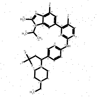 CCN1CCN(C(CC(F)(F)F)c2ccc(Nc3ncc(F)c(-c4cc(F)c5nc(C)n(C(C)C)c5c4)n3)nc2)CC1